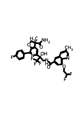 Cc1cnc2c(OCC(F)F)cc(C(=O)NC[C@](O)(c3cc4c(c(-c5ccc(F)cc5)n3)OC[C@]4(C)C(N)=O)C(F)(F)F)cc2c1